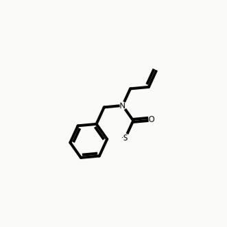 C=CCN(Cc1ccccc1)C(=O)[S]